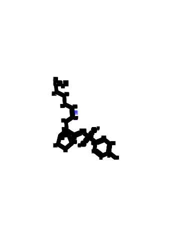 Cc1ccc(S(=O)(=O)N=C2C3CCC(C3)C2C/C=C\CCCC(=O)O)cc1